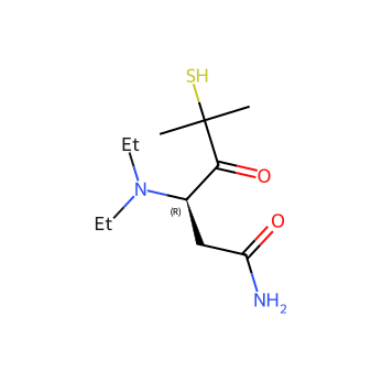 CCN(CC)[C@H](CC(N)=O)C(=O)C(C)(C)S